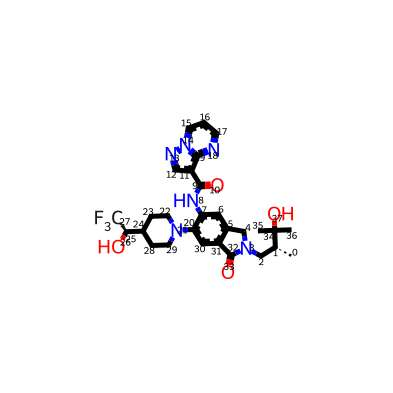 C[C@H](CN1Cc2cc(NC(=O)c3cnn4cccnc34)c(N3CCC([C@@H](O)C(F)(F)F)CC3)cc2C1=O)C(C)(C)O